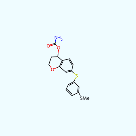 CSc1cccc(Sc2ccc3c(c2)OCCC3OC(N)=O)c1